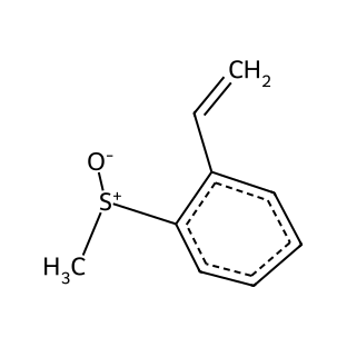 C=Cc1ccccc1[S+](C)[O-]